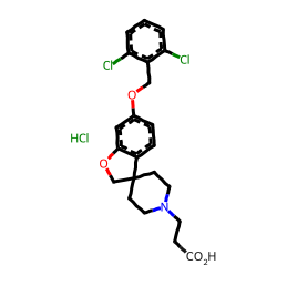 Cl.O=C(O)CCN1CCC2(CC1)COc1cc(OCc3c(Cl)cccc3Cl)ccc12